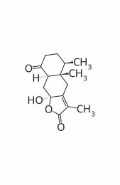 CC1=C2C[C@@]3(C)[C@H](C)CCC(=O)[C@@H]3C[C@]2(O)OC1=O